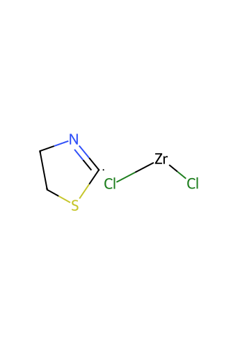 [C]1=NCCS1.[Cl][Zr][Cl]